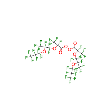 O=C(OOC(=O)C(F)(OC(F)(F)C(F)(OC(F)(F)C(F)(F)C(F)(F)F)C(F)(F)F)C(F)(F)F)C(F)(OC(F)(F)C(F)(OC(F)(F)C(F)(F)C(F)(F)F)C(F)(F)F)C(F)(F)F